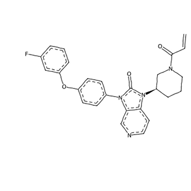 C=CC(=O)N1CCC[C@@H](n2c(=O)n(-c3ccc(Oc4cccc(F)c4)cc3)c3cnccc32)C1